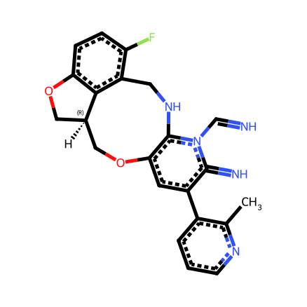 Cc1ncccc1-c1cc2c(n(C=N)c1=N)NCc1c(F)ccc3c1[C@H](CO3)CO2